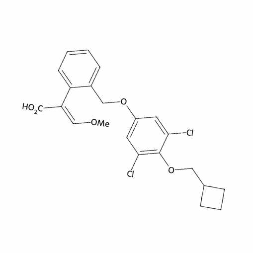 CO/C=C(/C(=O)O)c1ccccc1COc1cc(Cl)c(OCC2CCC2)c(Cl)c1